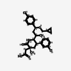 CC(C[C@H](OCC1CC1)c1ccc(Cl)cc1)[C@@H]1NC(=O)[C@](C)(CC(=O)O)C[C@@H]1c1cccc(Cl)c1